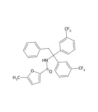 Cc1ccc(C(=O)NC(Cc2ccccc2)(c2cccc(C(F)(F)F)c2)c2cccc(C(F)(F)F)c2)o1